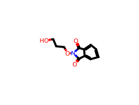 O=C1c2ccccc2C(=O)N1OCCCO